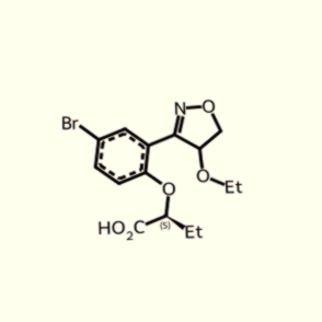 CCOC1CON=C1c1cc(Br)ccc1O[C@@H](CC)C(=O)O